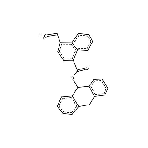 C=Cc1ccc(C(=O)OC2c3ccccc3Cc3ccccc32)c2ccccc12